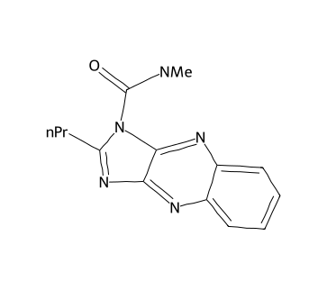 CCCc1nc2nc3ccccc3nc2n1C(=O)NC